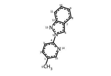 Cc1ccc(-n2cc3ccccc3n2)nc1